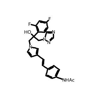 CC(=O)Nc1ccc(/C=C/c2ccn(CC(O)(Cn3cncn3)c3ccc(F)cc3F)c2)cc1